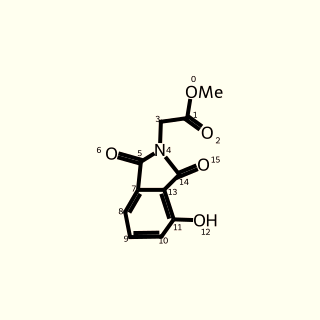 COC(=O)CN1C(=O)c2cccc(O)c2C1=O